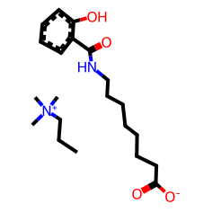 CCC[N+](C)(C)C.O=C([O-])CCCCCCCNC(=O)c1ccccc1O